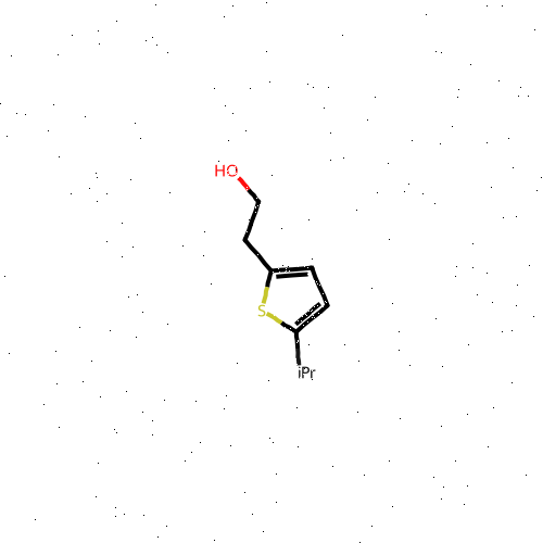 CC(C)c1ccc(CCO)s1